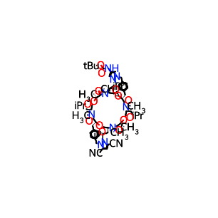 CC(C)C[C@H]1C(=O)O[C@H](Cc2ccc(Cn3nc(C#N)cc3C#N)cc2)C(=O)N(C)[C@@H](CC(C)C)C(=O)O[C@H](C)C(=O)N(C)[C@@H](CC(C)C)C(=O)O[C@H](Cc2ccc(Cn3cc(NC(=O)OC(C)(C)C)cn3)cc2)C(=O)N(C)[C@@H](CC(C)C)C(=O)O[C@H](C)C(=O)N1C